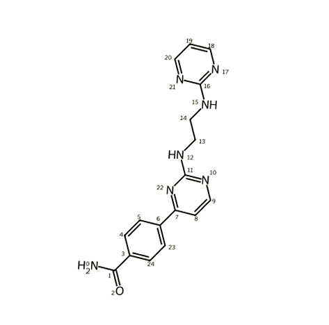 NC(=O)c1ccc(-c2ccnc(NCCNc3ncccn3)n2)cc1